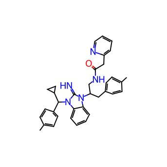 Cc1ccc(CC(CNC(=O)Cc2ccccn2)n2c(=N)n(C(c3ccc(C)cc3)C3CC3)c3ccccc32)cc1